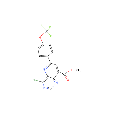 COC(=O)c1cc(-c2ccc(OC(F)(F)F)cc2)nc2c(Cl)ncnc12